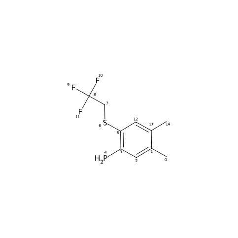 Cc1cc(P)c(SCC(F)(F)F)cc1C